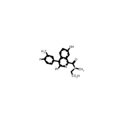 Cc1cc(-c2c(C(C)C)nc(C(=O)N(C)CC(=O)O)c3cc(O)ccc23)ccc1F